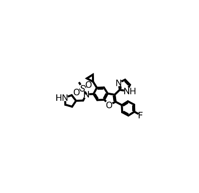 CS(=O)(=O)N(CC1CCNC1)c1cc2oc(-c3ccc(F)cc3)c(-c3ncc[nH]3)c2cc1C1CC1